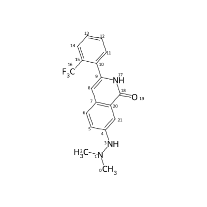 CN(C)Nc1ccc2cc(-c3ccccc3C(F)(F)F)[nH]c(=O)c2c1